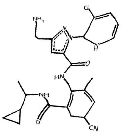 CC1=CC(C#N)CC(C(=O)NC(C)C2CC2)=C1NC(=O)c1cc(CN)nn1C1NC=CC=C1Cl